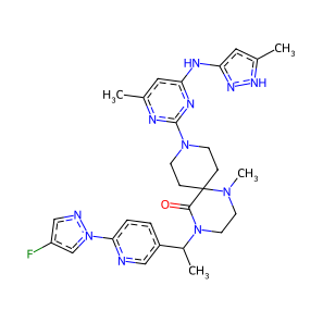 Cc1cc(Nc2cc(C)[nH]n2)nc(N2CCC3(CC2)C(=O)N(C(C)c2ccc(-n4cc(F)cn4)nc2)CCN3C)n1